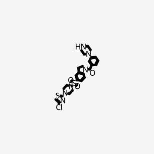 O=C(c1cccc(N2CCNCC2)c1)N1CCc2cc(S(=O)(=O)N3CCN(c4nc(Cl)cs4)CC3)ccc21